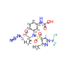 Cc1nn(C(F)F)cc1S(=O)(=O)N1c2cc(NC(=O)O)ccc2O[C@@H](CN=[N+]=[N-])[C@H]1C